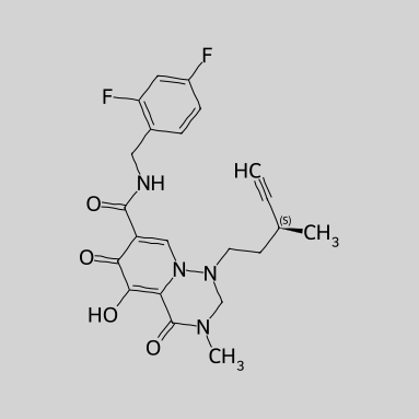 C#C[C@@H](C)CCN1CN(C)C(=O)c2c(O)c(=O)c(C(=O)NCc3ccc(F)cc3F)cn21